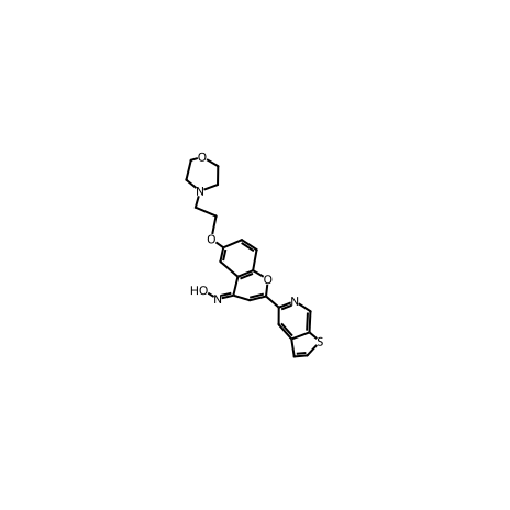 O/N=c1/cc(-c2cc3ccsc3cn2)oc2ccc(OCCN3CCOCC3)cc12